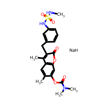 CNS(=O)(=O)Nc1cccc(Cc2c(C)c3cc(C)c(OC(=O)N(C)C)cc3oc2=O)c1.[NaH]